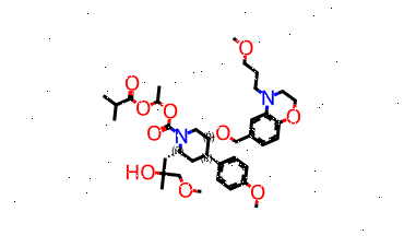 COCCCN1CCOc2ccc(CO[C@H]3CN(C(=O)OC(C)OC(=O)C(C)C)[C@@H](CC(C)(O)COC)C[C@@H]3c3ccc(OC)cc3)cc21